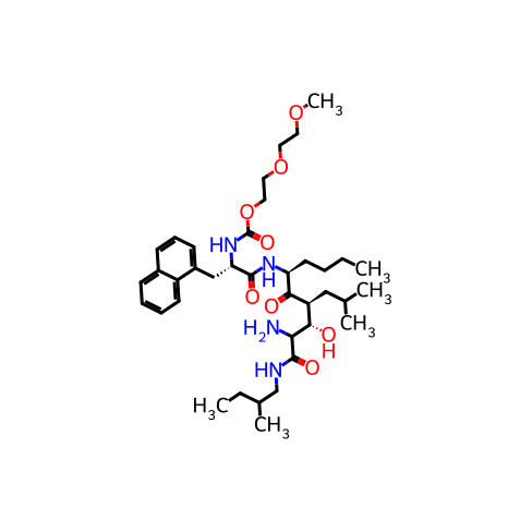 CCCC[C@H](NC(=O)[C@H](Cc1cccc2ccccc12)NC(=O)OCCOCCOC)C(=O)[C@@H](CC(C)C)[C@H](O)C(N)C(=O)NCC(C)CC